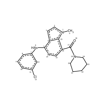 Cn1ccc2c([AsH]c3cccc(Cl)c3)ncc(C(=O)N3CCCCC3)c21